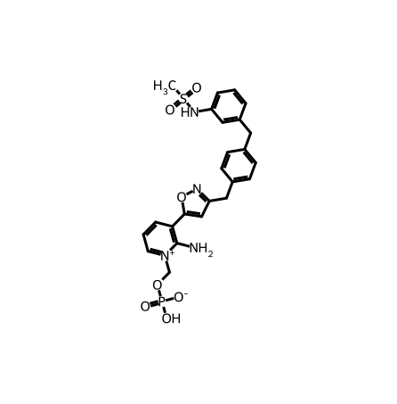 CS(=O)(=O)Nc1cccc(Cc2ccc(Cc3cc(-c4ccc[n+](COP(=O)([O-])O)c4N)on3)cc2)c1